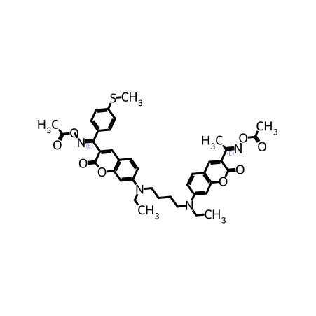 CCN(CCCCN(CC)c1ccc2cc(/C(=N/OC(C)=O)c3ccc(SC)cc3)c(=O)oc2c1)c1ccc2cc(/C(C)=N/OC(C)=O)c(=O)oc2c1